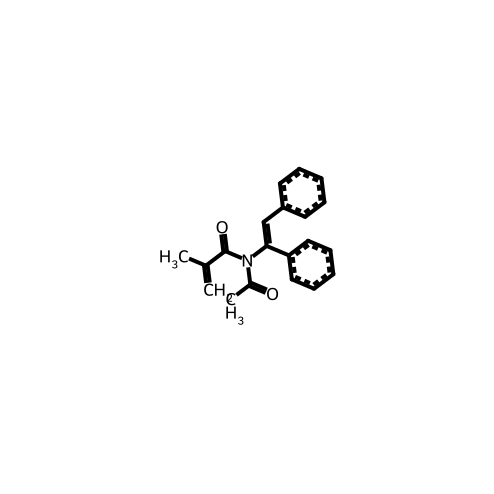 C=C(C)C(=O)N(C(C)=O)C(=Cc1ccccc1)c1ccccc1